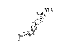 C[C@@H](COC1CCN(c2nc3c(o2)CN(OCC2CC2)C=C3)CC1)N(C(=O)O)C(C)(C)C